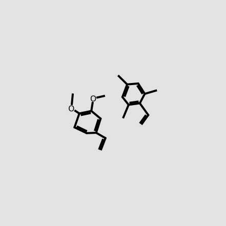 C=Cc1c(C)cc(C)cc1C.C=Cc1ccc(OC)c(OC)c1